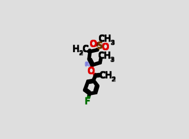 C=C(/C=C(\CC)OC(=C)c1ccc(F)cc1)CS(C)(=O)=O